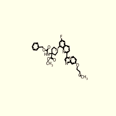 COCCOc1ccn2c(-c3ccc4cc(F)cc(N5CCC(NC(=O)OCc6ccccc6)(C(=O)OC)CC5)c4n3)cnc2c1